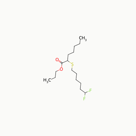 CCCCCC(SCCCCCC(F)F)C(=O)OCCC